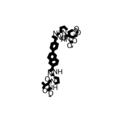 COC(=O)N[C@H](C(=O)N1CCC[C@H]1c1ncc(-c2ccc3cc(-c4ccc(-c5cnc([C@@H]6CCCN6C(=O)C6(NC(=O)OC)CCS(=O)(=O)CC6)[nH]5)cc4)ccc3c2)[nH]1)C(C)C